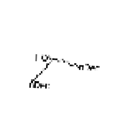 CCCCCCCCCCCCCCCCCCC(CO)CCCCCCCCCCCCCCCCCC